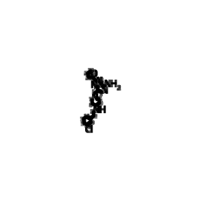 Nc1ncc(CN2CCC(NCCc3cccc(Cl)c3)CC2)c2nc(-c3ccco3)nn12